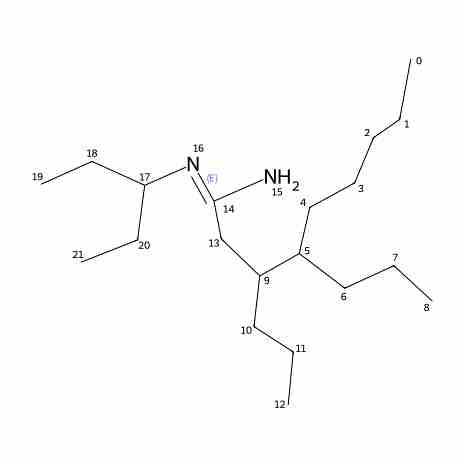 CCCCCC(CCC)C(CCC)C/C(N)=N\C(CC)CC